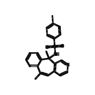 CC1=Cc2ccncc2C(C)(NS(=O)(=O)c2ccc(C)cc2)c2ccccc21